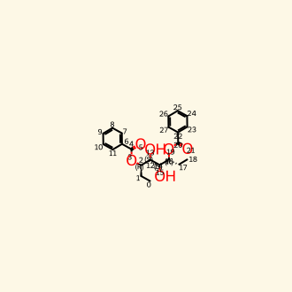 CC[C@@H](OC(=O)c1ccccc1)[C@@H](O)[C@H](O)[C@@H](CC)OC(=O)c1ccccc1